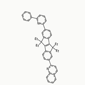 CCC1(CC)C2=C(c3ccc(-c4cccc(-c5ccccc5)n4)cc31)C(CC)(CC)c1cc(-c3ccc4ccccc4n3)ccc12